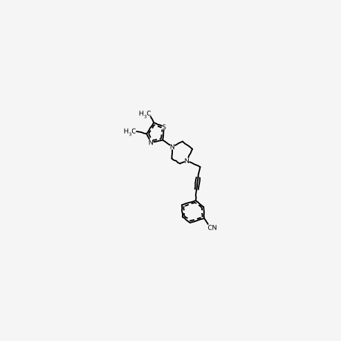 Cc1nc(N2CCN(CC#Cc3cccc(C#N)c3)CC2)sc1C